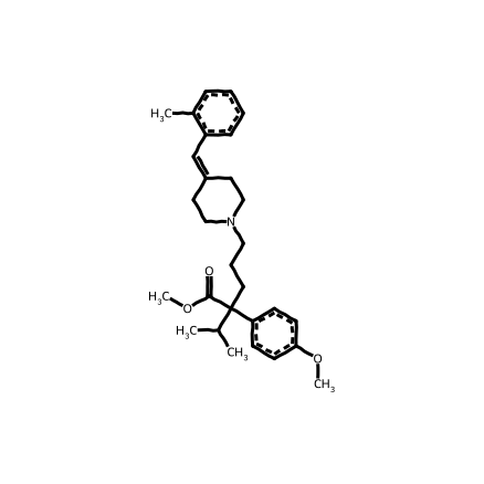 COC(=O)C(CCCN1CCC(=Cc2ccccc2C)CC1)(c1ccc(OC)cc1)C(C)C